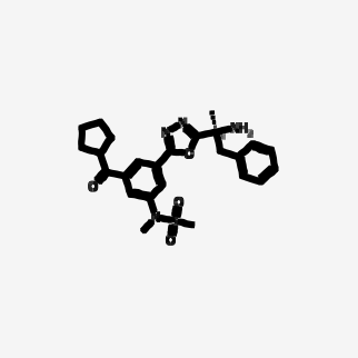 CN(c1cc(C(=O)C2CCCC2)cc(-c2nnc([C@@](C)(N)Cc3ccccc3)o2)c1)S(C)(=O)=O